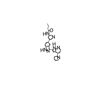 CCCC(=O)Nc1cncc(-c2ccc3[nH]nc(-c4cc5c(-c6ccccn6)ccnc5[nH]4)c3c2)c1